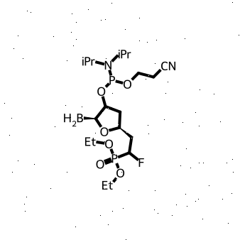 B[C@@H]1O[C@H](CC(F)P(=O)(OCC)OCC)CC1OP(OCCC#N)N(C(C)C)C(C)C